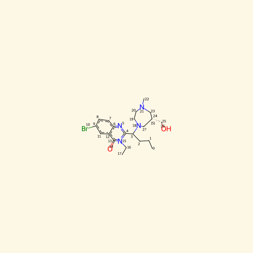 CCCC(c1nc2ccc(Br)cc2c(=O)n1CC)N1CCN(C)C[C@H](CO)C1